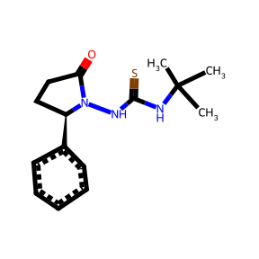 CC(C)(C)NC(=S)NN1C(=O)CC[C@@H]1c1ccccc1